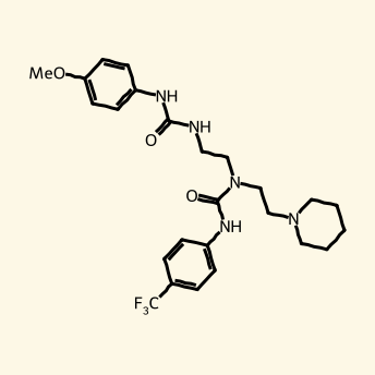 COc1ccc(NC(=O)NCCN(CCN2CCCCC2)C(=O)Nc2ccc(C(F)(F)F)cc2)cc1